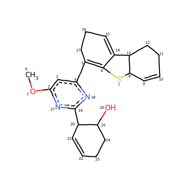 COc1cc(C2=C3SC4C=CCCC4C3=CCC2)nc(C2C=CCCC2O)n1